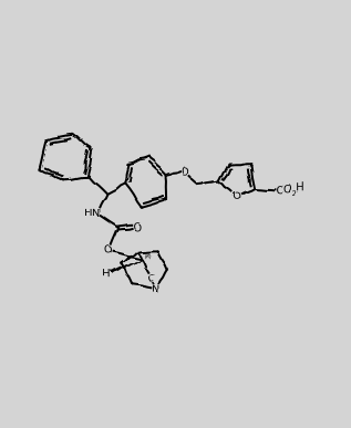 O=C(NC(c1ccccc1)c1ccc(OCc2ccc(C(=O)O)o2)cc1)O[C@H]1CN2CCC1CC2